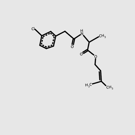 CC(C)=CCOC(=O)C(C)NC(=O)Cc1cccc(Cl)c1